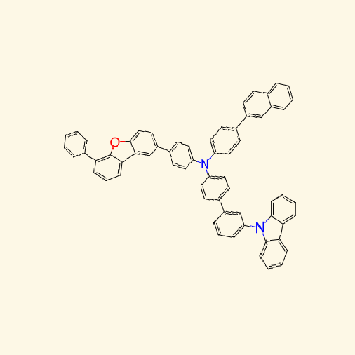 c1ccc(-c2cccc3c2oc2ccc(-c4ccc(N(c5ccc(-c6cccc(-n7c8ccccc8c8ccccc87)c6)cc5)c5ccc(-c6ccc7ccccc7c6)cc5)cc4)cc23)cc1